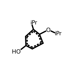 CC(C)Oc1ccc(O)cc1C(C)C